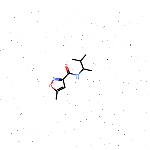 Cc1cc(C(=O)NC(C)C(C)C)no1